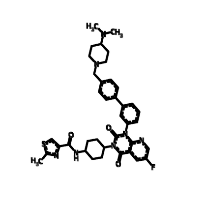 Cc1nc(C(=O)NC2CCC(n3c(=O)c4cc(F)cnc4n(-c4cccc(-c5ccc(CN6CCC(N(C)C)CC6)cc5)c4)c3=O)CC2)cs1